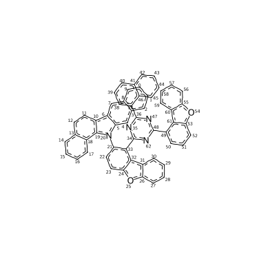 c1ccc2cc3c(cc2c1)c1ccc2ccccc2c1n3-c1ccc2oc3ccccc3c2c1-c1nc(-c2cccc3ccccc23)nc(-c2cccc3oc4ccccc4c23)n1